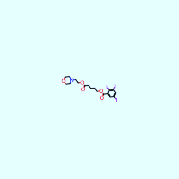 O=C(CCCCOC(=O)c1cc(I)cc(I)c1I)OCCN1CCOCC1